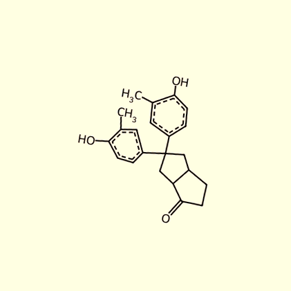 Cc1cc(C2(c3ccc(O)c(C)c3)CC3CCC(=O)C3C2)ccc1O